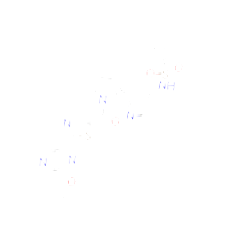 CCOc1cncc(-c2ncc(C(=O)N3CCC[C@@H]3c3cc(NS(=O)(=O)C4CC4)ccn3)s2)n1